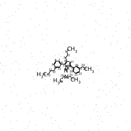 CCCCC1=C(c2cccc(CCCC)c2)[N+](=[N-])C(c2cccc(CC)c2)=C1.C[CH2][Ni][CH2]C